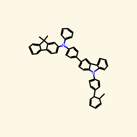 CC1C=CC=CC1c1ccc(-n2c3ccccc3c3cc(-c4ccc(N(c5ccccc5)c5ccc6c(c5)C(C)(C)c5ccccc5-6)cc4)ccc32)cc1